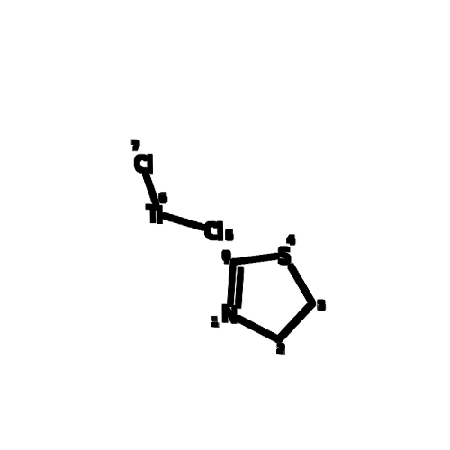 [C]1=NCCS1.[Cl][Ti][Cl]